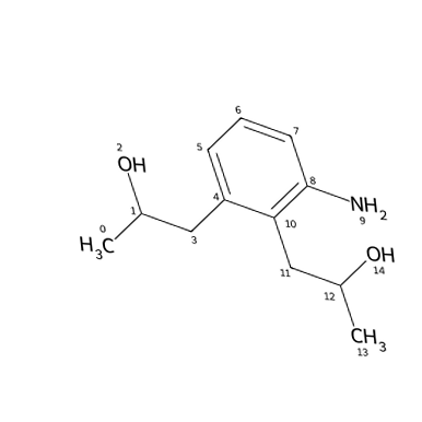 CC(O)Cc1cccc(N)c1CC(C)O